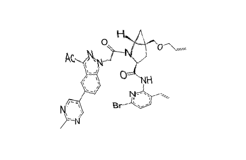 C=CCOC[C@@]12C[C@@H](C(=O)Nc3nc(Br)ccc3C=C)N(C(=O)Cn3nc(C(C)=O)c4cc(-c5cnc(C)nc5)ccc43)[C@@H]1C2